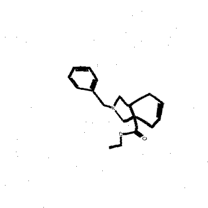 CCOC(=O)C12CC=CCC1CN(Cc1ccccc1)C2